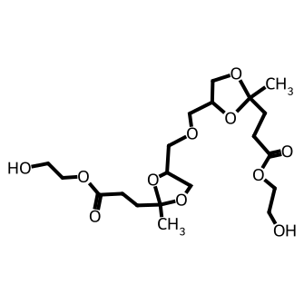 CC1(CCC(=O)OCCO)OCC(COCC2COC(C)(CCC(=O)OCCO)O2)O1